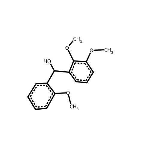 COc1ccccc1C(O)c1cccc(OC)c1OC